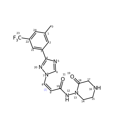 Cc1cc(-c2ncn(/C=C\C(=O)NN3CCNCC3=O)n2)cc(C(F)(F)F)c1